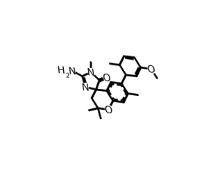 COC1=CC(c2cc3c(cc2C)OC(C)(C)CC32N=C(N)N(C)C2=O)C(C)C=C1